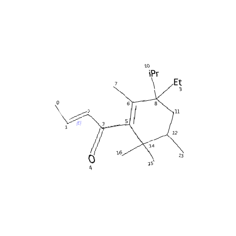 C/C=C/C(=O)C1=C(C)C(CC)(C(C)C)CC(C)C1(C)C